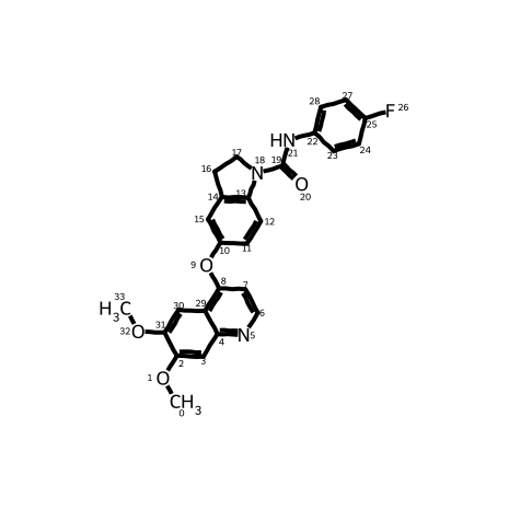 COc1cc2nccc(Oc3ccc4c(c3)CCN4C(=O)Nc3ccc(F)cc3)c2cc1OC